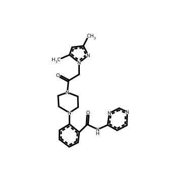 Cc1cc(C)n(CC(=O)N2CCN(c3ccccc3C(=O)Nc3ccncn3)CC2)n1